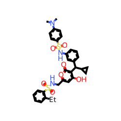 CCc1ccccc1S(=O)(=O)NCc1cc(O)c(C(c2cccc(NS(=O)(=O)c3ccc(N(C)C)cc3)c2)C2CC2)c(=O)o1